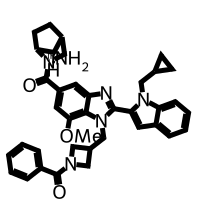 COc1cc(C(=O)N2CC3CCC2[C@@H]3N)cc2nc(-c3cc4ccccc4n3CC3CC3)n(CC3CN(C(=O)c4ccccc4)C3)c12